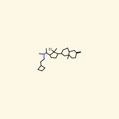 C=C1CCC2(C)CC(C3CCC(C(C)N(C)CCC4CCC4)C3(C)CC)CCC2C1